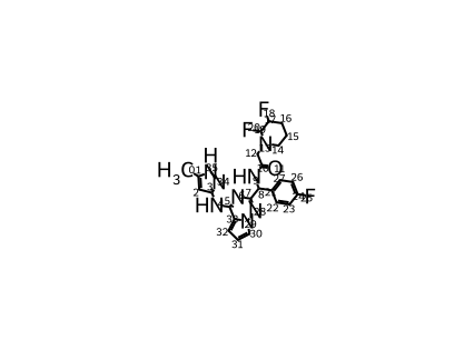 Cc1cc(Nc2nc(C(NC(=O)CN3CCCC(F)C3F)c3ccc(F)cc3)nn3cccc23)n[nH]1